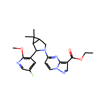 CCOC(=O)c1cnn2ccc(N3CC4C(C3c3cc(F)cnc3OC)C4(C)C)nc12